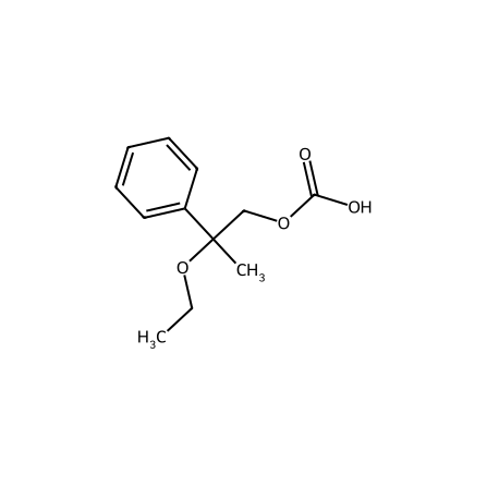 CCOC(C)(COC(=O)O)c1ccccc1